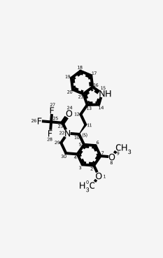 COc1cc2c(cc1OC)[C@H](CCc1c[nH]c3ccccc13)N(C(=O)C(F)(F)F)CC2